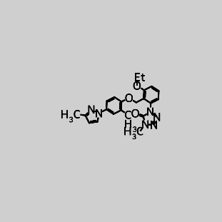 CCOc1cccc(-n2nnn(C)c2=O)c1COc1ccc(-n2ccc(C)n2)cc1C